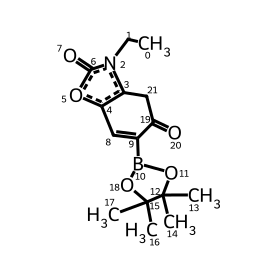 CCn1c2c(oc1=O)C=C(B1OC(C)(C)C(C)(C)O1)C(=O)C2